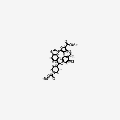 COC(=O)c1sc(-n2cnc3ccc(C(=O)C4CCN(C(=O)OC(C)(C)C)CC4)cc32)cc1O[C@H](C)c1ccccc1Cl